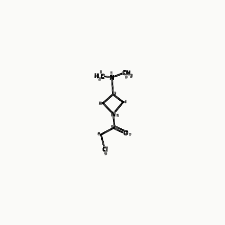 CN(C)C1CN(C(=O)CCl)C1